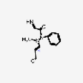 CN(/C=C/C=O)N(C(=O)C=N)c1ccccc1